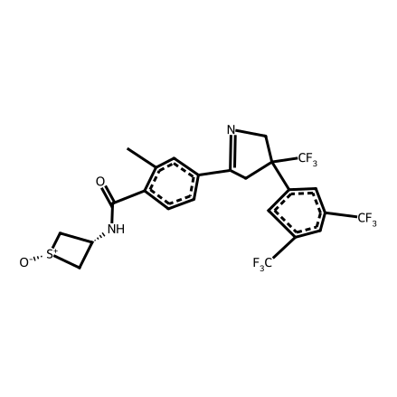 Cc1cc(C2=NCC(c3cc(C(F)(F)F)cc(C(F)(F)F)c3)(C(F)(F)F)C2)ccc1C(=O)N[C@H]1C[S@@+]([O-])C1